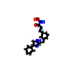 O=C(/C=C/c1cccc(Cc2nc(-c3ccccc3)c[nH]2)c1)NO